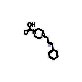 O=C(O)N1CCN(C/C=C/c2ccccc2)CC1